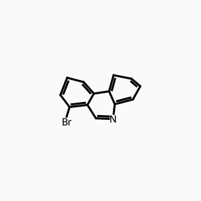 Brc1cccc2c1cnc1ccccc12